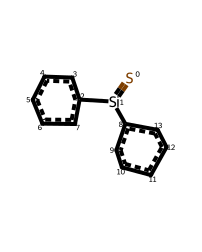 S=[Si](c1ccccc1)c1ccccc1